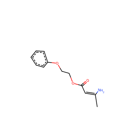 CC(N)=CC(=O)OCCOc1ccccc1